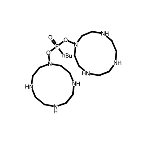 CCCCP(=O)(ON1CCNCCNCCNCC1)ON1CCNCCNCCNCC1